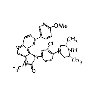 COc1ccc(-c2ccc3ncc4c(c3c2)n(-c2ccc(N3C[C@@H](C)N[C@@H](C)C3)c(Cl)c2)c(=O)n4C)cn1